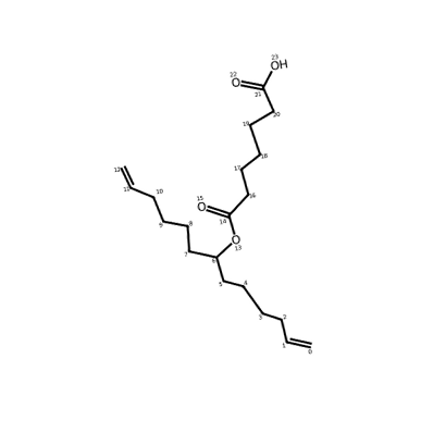 C=CCCCCC(CCCCC=C)OC(=O)CCCCCC(=O)O